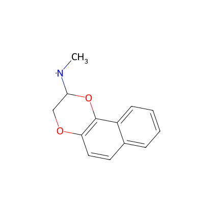 C[N]C1COc2ccc3ccccc3c2O1